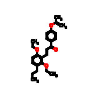 C=C(C)Oc1ccc(C(=O)C=Cc2c(OCC)ccc(CCC)c2OCC)cc1